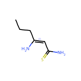 CCC/C(N)=C/C(N)=S